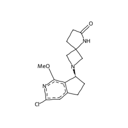 COc1nc(Cl)cc2c1[C@@H](N1CC3(CCC(=O)N3)C1)CC2